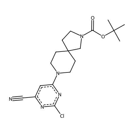 CC(C)(C)OC(=O)N1CCC2(CCN(c3cc(C#N)nc(Cl)n3)CC2)C1